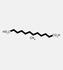 C.O=C(O)CCCCCCCCCCC(=O)O